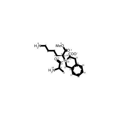 COC(=O)[C@H](CCCCN)[N@+]1(C(=O)C(C)N)Cc2ccccc2CC1C(=O)[O-]